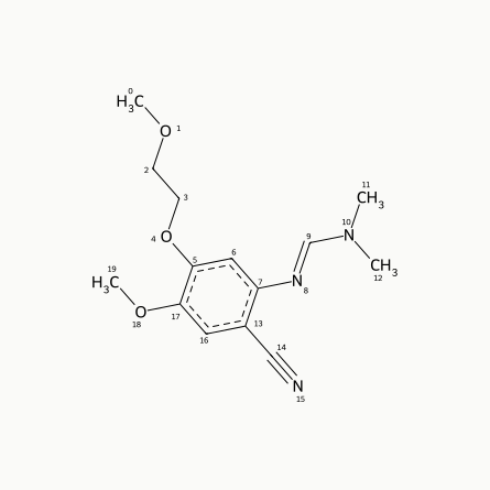 COCCOc1cc(N=CN(C)C)c(C#N)cc1OC